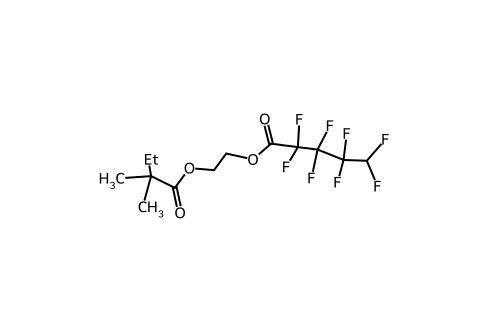 CCC(C)(C)C(=O)OCCOC(=O)C(F)(F)C(F)(F)C(F)(F)C(F)F